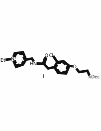 CCCCCCCCCCCCOc1ccc(CC(=O)NCc2cc[n+](CC)cc2)c(Cl)c1.[I-]